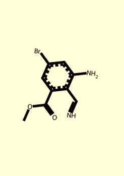 COC(=O)c1cc(Br)cc(N)c1C=N